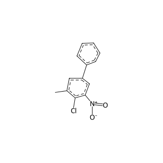 Cc1cc(-c2ccccc2)cc([N+](=O)[O-])c1Cl